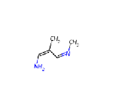 C/N=C\C(C)=C/N